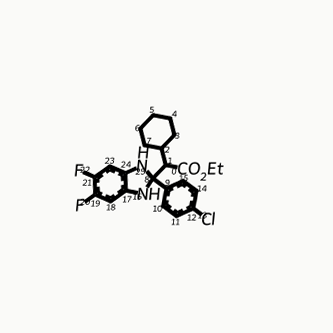 CCOC(=O)C(C1CCCCC1)C1(c2ccc(Cl)cc2)Nc2cc(F)c(F)cc2N1